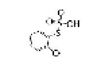 [O]c1ccccc1SS(=O)(=O)O